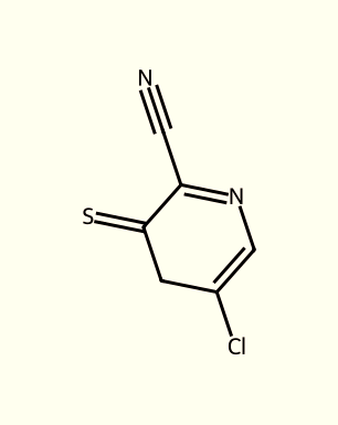 N#CC1=NC=C(Cl)CC1=S